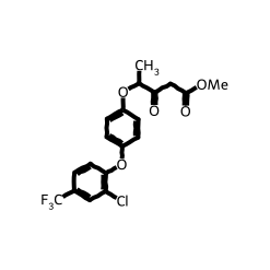 COC(=O)CC(=O)C(C)Oc1ccc(Oc2ccc(C(F)(F)F)cc2Cl)cc1